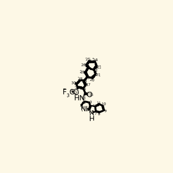 NCC(Cc1c[nH]c2ccccc12)NC(=O)c1cc(-c2ccc3ccccc3c2)ccc1OC(F)(F)F